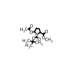 COC(=O)C1CC[C@H](OC(C)=O)N1C(=O)OC(C)(C)C